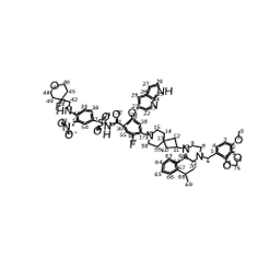 COc1ccc(CN2CCN(C3CC4(CCN(c5cc(Oc6cnc7[nH]ccc7c6)c(C(=O)NS(=O)(=O)c6ccc(NCC7(F)CCOCC7)c([N+](=O)[O-])c6)cc5F)CC4)C3)[C@H](c3ccccc3C(C)C)C2)c2c1OCO2